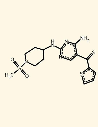 CS(=O)(=O)N1CCC(Nc2ncc(C(=S)c3cccs3)c(N)n2)CC1